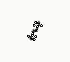 Cc1ccccc1N(c1ccc2cc3c(cc2c1)oc1c(C(C)C)c2c(cc13)oc1cc3cc(N(c4ccccc4C)c4cccc5c4oc4c(-c6ccccc6)cccc45)ccc3cc12)c1cccc2c1oc1c(-c3ccccc3)cccc12